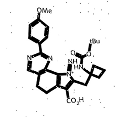 COc1ccc(-c2ncc3c(n2)C2=C(CC3)C(C(=O)O)=C(CC3(NC(=O)OC(C)(C)C)CCC3)[N+]2=N)cc1